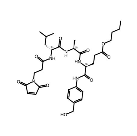 CCCCOC(=O)CC[C@H](NC(=O)[C@H](C)NC(=O)[C@@H](CC(C)C)NC(=O)CCN1C(=O)C=CC1=O)C(=O)Nc1ccc(CO)cc1